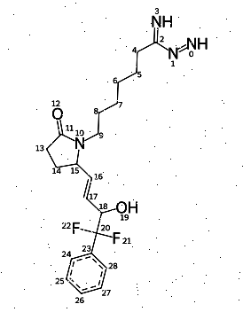 N=NC(=N)CCCCCCN1C(=O)CCC1/C=C/C(O)C(F)(F)c1ccccc1